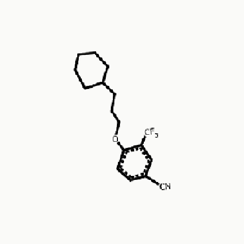 N#Cc1ccc(OCCCC2CCCCC2)c(C(F)(F)F)c1